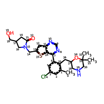 Cc1cc(Cl)cc(-c2ncnc3cc(CN4CC(CO)CC4=O)sc23)c1CC1CNCC(C)(C)O1